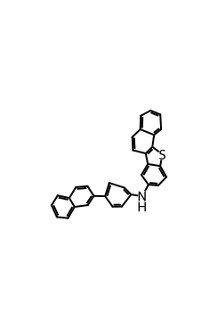 c1ccc2cc(-c3ccc(Nc4ccc5sc6c7ccccc7ccc6c5c4)cc3)ccc2c1